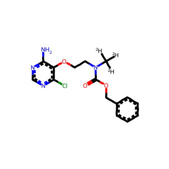 [2H]C([2H])([2H])N(CCOc1c(N)ncnc1Cl)C(=O)OCc1ccccc1